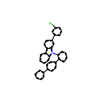 Brc1cccc(-c2ccc3c4ccccc4n(-c4ccccc4-c4ccc(-c5ccccc5)cc4)c3c2)c1